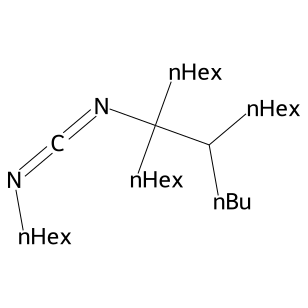 CCCCCCN=C=NC(CCCCCC)(CCCCCC)C(CCCC)CCCCCC